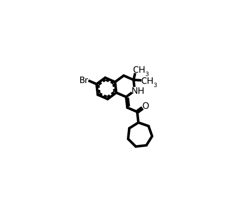 CC1(C)Cc2cc(Br)ccc2C(=CC(=O)C2CCCCCC2)N1